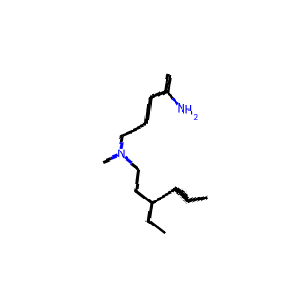 C=C(N)CCCN(C)CCC(CC)CCC